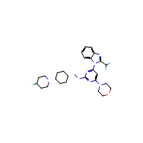 FC1CCN([C@H]2CC[C@@H](CNc3nc(N4CCOCC4)cc(-n4c(C(F)F)nc5ccccc54)n3)CC2)CC1